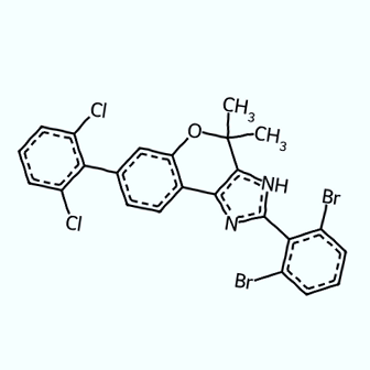 CC1(C)Oc2cc(-c3c(Cl)cccc3Cl)ccc2-c2nc(-c3c(Br)cccc3Br)[nH]c21